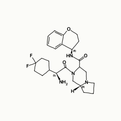 N[C@H](C(=O)N1C[C@H]2CCCN2CC1C(=O)N[C@@H]1CCOc2ccccc21)C1CCC(F)(F)CC1